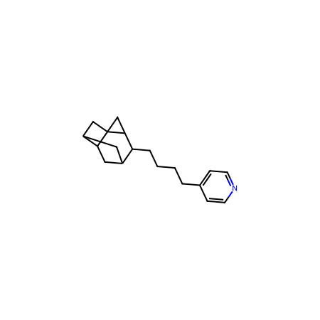 c1cc(CCCCC2C3CC4CC5(CC25)C4C3)ccn1